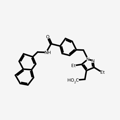 CCc1nn(Cc2ccc(C(=O)NCc3ccc4ccccc4c3)cc2)c(CC)c1CC(=O)O